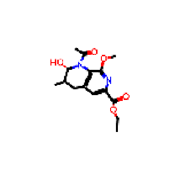 CCOC(=O)c1cc2c(c(OC)n1)N(C(C)=O)[C@@H](O)C(C)C2